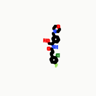 O=C(C=Cc1ccc(F)cc1Cl)NC(CO)c1cccc(CN2CCOCC2)c1